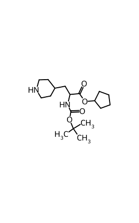 CC(C)(C)OC(=O)NC(CC1CCNCC1)C(=O)OC1CCCC1